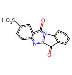 O=C1c2ccccc2-n2c1nc1ccc(S(=O)(=O)O)cc1c2=O